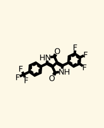 O=C1NC(c2cc(F)c(F)c(F)c2)=C2C(=O)NC(c3ccc(C(F)(F)F)cc3)=C12